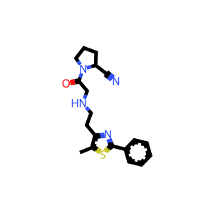 Cc1sc(-c2ccccc2)nc1CCNCC(=O)N1CCCC1C#N